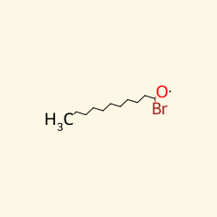 CCCCCCCCCCC([O])Br